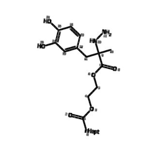 CCCCCCCC(=O)OCCOC(=O)C(C)(Cc1ccc(O)c(O)c1)NN